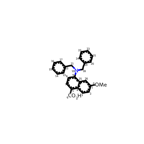 COc1ccc2c(C(=O)O)ccc(N(Cc3ccccc3)Cc3ccccc3)c2c1